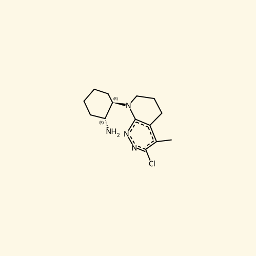 Cc1c(Cl)nnc2c1CCCN2[C@@H]1CCCC[C@H]1N